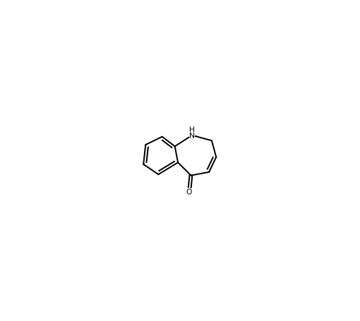 O=C1C=CCNc2ccccc21